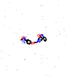 Cc1nc(-c2ccc(OCCN3CCC4(CC3)C(=O)N(C)c3ccccc34)cc2)no1